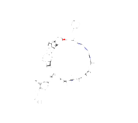 CO[C@@H]1C[C@H](C[C@@H](C)[C@@H]2CC(=O)[C@H](C)/C=C(\C)[C@@H](O)CC(=O)[C@H](C)C[C@H](C)/C=C/C=C/C=C(\C)C(OCC3CCOCC3)C[C@@H]3CC[C@@H](C)[C@@](O)(O3)C(=O)C(=O)N3CCCC[C@H]3C(=O)O2)CC[C@H]1OCCO